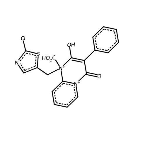 O=C1C(c2ccccc2)=C(O)[N+](Cc2cnc(Cl)s2)(C(=O)O)c2cccc[n+]21